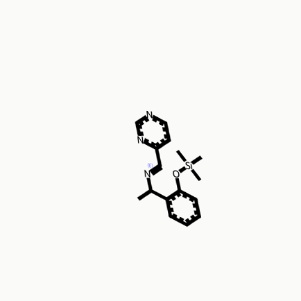 CC(/N=C/c1ccncn1)c1ccccc1O[Si](C)(C)C